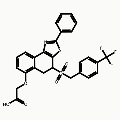 O=C(O)COc1cccc2c1CC(S(=O)(=O)Cc1ccc(C(F)(F)F)cc1)c1sc(-c3ccccc3)nc1-2